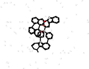 CC1CC=Cc2c1c1cccc(-c3cccc(N(c4ccc5oc6ccccc6c5c4)c4ccccc4-c4cccc5cccc(-c6ccccc6)c45)c3)c1n2-c1ccccc1